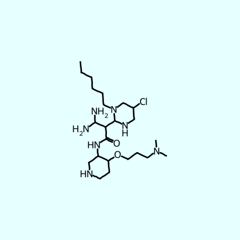 CCCCCCN1CC(Cl)CNC1C(C(=O)NC1CNCCC1OCCCN(C)C)C(N)N